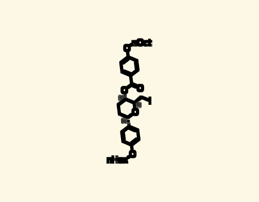 CCCCCCCCOc1ccc(C(=O)O[C@H]2CC[C@@H](c3ccc(OCCCCCC)cc3)O[C@@H]2CI)cc1